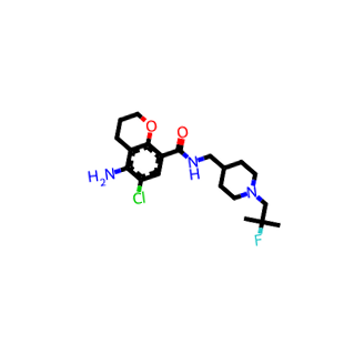 CC(C)(F)CN1CCC(CNC(=O)c2cc(Cl)c(N)c3c2OCCC3)CC1